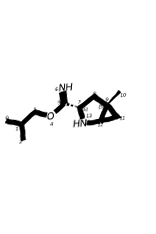 CC(C)COC(=N)[C@@H]1C[C@]2(C)CC2N1